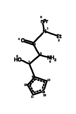 CCCN(CC)C(=O)C(N)C(O)c1ccsc1